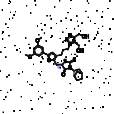 COc1cc(OC)cc(-c2cc(CCCn3nnc(CO)c3CO)c(/C=C3\SC(=S)N(C4CC5CCC4C5)C3=O)o2)c1